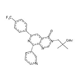 CC(=O)OC(C)(C)Cn1cnc2c(-c3cccnc3)nc(-c3ccc(C(F)(F)F)cc3)cc2c1=O